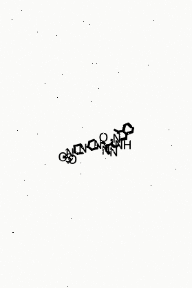 Cc1c(Nc2cc3ccccc3c(C)n2)ncnc1C(=O)N1CCC(N2CCC(N(C)S(C)(=O)=O)CC2)CC1